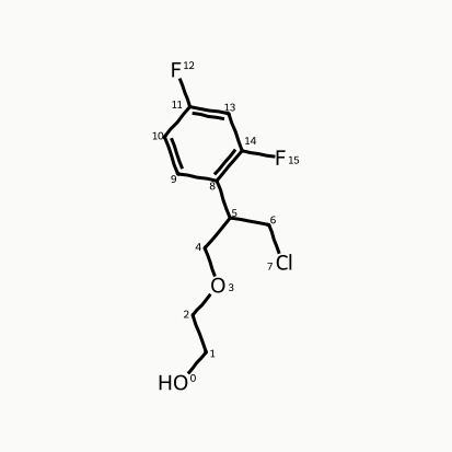 OCCOCC(CCl)c1ccc(F)cc1F